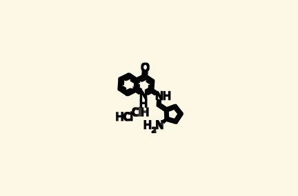 Cl.Cl.N[C@@H]1CCCC1CNc1cc(=O)c2ccccc2[nH]1